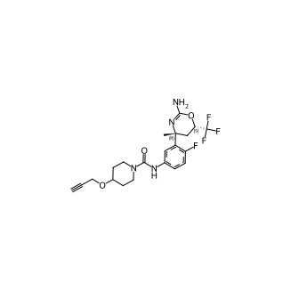 C#CCOC1CCN(C(=O)Nc2ccc(F)c([C@@]3(C)C[C@@H](C(F)(F)F)OC(N)=N3)c2)CC1